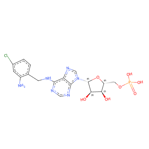 Nc1cc(Cl)ccc1CNc1ncnc2c1ncn2[C@@H]1O[C@H](COP(=O)(O)O)[C@@H](O)[C@H]1O